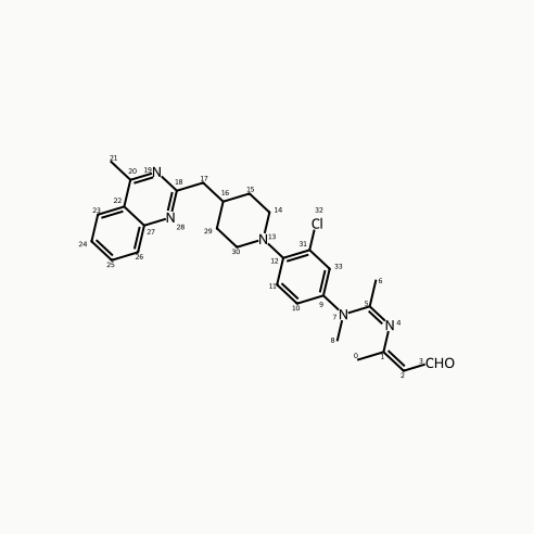 CC(=C/C=O)/N=C(/C)N(C)c1ccc(N2CCC(Cc3nc(C)c4ccccc4n3)CC2)c(Cl)c1